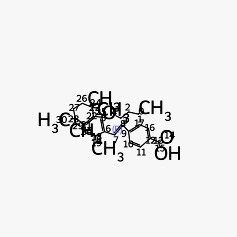 CCCCOc1c(/C=C/c2ccc(C(=O)O)cc2)c(C)cc2c1C(C)(C)CCC2(C)C